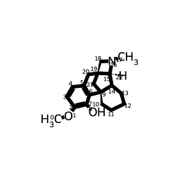 COc1ccc2c(c1O)[C@@]13CCCCC1[C@@H]1N(C)C[C@]1(C2)C3